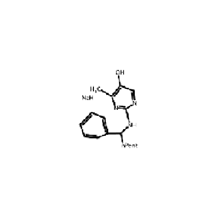 CCCCCC(Nc1ncc(O)c(C)n1)c1ccccc1.[NaH]